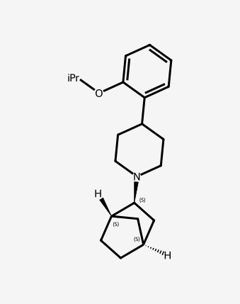 CC(C)Oc1ccccc1C1CCN([C@H]2C[C@H]3CC[C@H]2C3)CC1